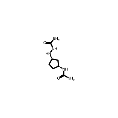 BC(=O)NN[C@@H]1CC[C@H](NC(N)=O)C1